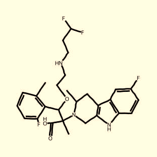 Cc1cccc(F)c1C(OCCNCCC(F)F)C(C)(C(=O)O)N1Cc2[nH]c3ccc(F)cc3c2CC1C